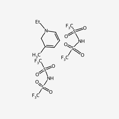 CCN1C=CC=C(C)C1.O=S(=O)(NS(=O)(=O)C(F)(F)F)C(F)(F)F.O=S(=O)(NS(=O)(=O)C(F)(F)F)C(F)(F)F